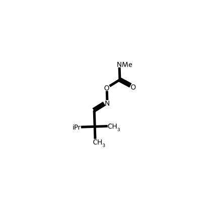 CNC(=O)O/N=C/C(C)(C)C(C)C